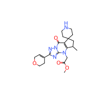 COC(=O)Cn1c2c(c(=O)n3nc(C4=CCOCC4)nc13)C1(CCNCC1)CC2C